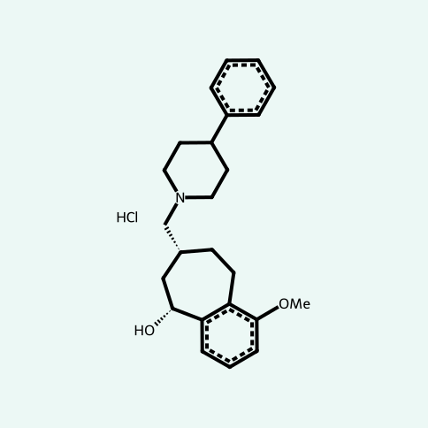 COc1cccc2c1CC[C@@H](CN1CCC(c3ccccc3)CC1)C[C@H]2O.Cl